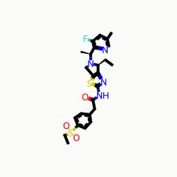 CC[C@H]1c2nc(NC(=O)Cc3ccc(S(=O)(=O)CC)cc3)sc2CN1[C@@H](C)c1ncc(C)cc1F